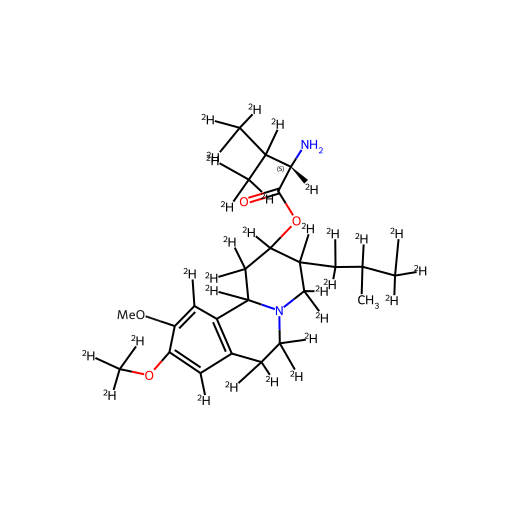 [2H]c1c(OC([2H])([2H])[2H])c(OC)c([2H])c2c1C([2H])([2H])C([2H])([2H])N1C([2H])([2H])C([2H])(C([2H])([2H])C([2H])(C)C([2H])([2H])[2H])C([2H])(OC(=O)[C@@]([2H])(N)C([2H])(C([2H])([2H])[2H])C([2H])([2H])[2H])C([2H])([2H])C21[2H]